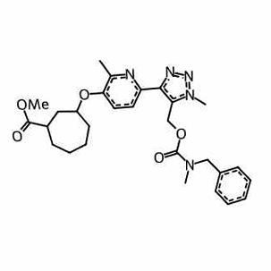 COC(=O)C1CCCCC(Oc2ccc(-c3nnn(C)c3COC(=O)N(C)Cc3ccccc3)nc2C)C1